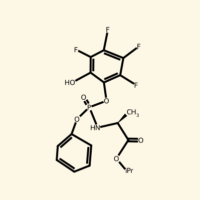 CC(C)OC(=O)[C@H](C)NP(=O)(Oc1ccccc1)Oc1c(O)c(F)c(F)c(F)c1F